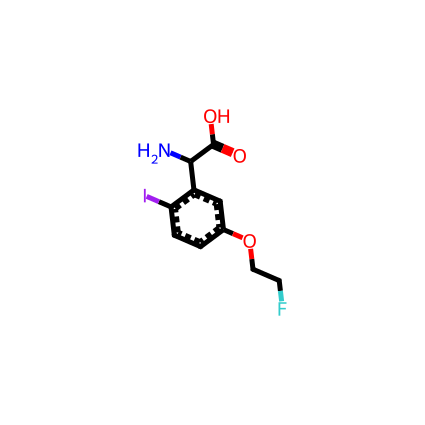 NC(C(=O)O)c1cc(OCCF)ccc1I